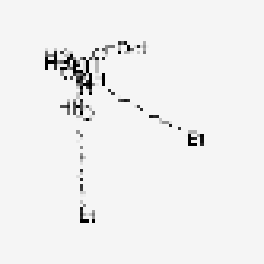 CCC=CCC=CCC=CCC=CCC=CCC=CCCC(=O)N[C@@H](CCCCNC(=O)CCCC=CCC=CCC=CCC=CCC=CCC)C(=O)NC(CO)(CO)CCc1ccc(CCCCCCCC)cc1